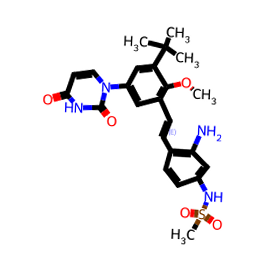 COc1c(/C=C/c2ccc(NS(C)(=O)=O)cc2N)cc(-n2ccc(=O)[nH]c2=O)cc1C(C)(C)C